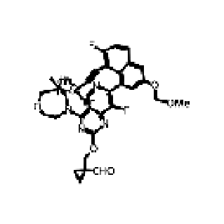 COCOc1cc(-c2ncc3c(N4CCOCC(C)(O)C4)nc(OCC4(C=O)CC4)nc3c2F)c2c(C#C[Si](C(C)C)(C(C)C)C(C)C)c(F)ccc2c1